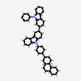 c1ccc(-n2c3ccccc3c3ccc(-c4ccc5c(c4)c4ccccc4n5-c4ccc(-c5ccc6c(ccc7ccccc76)c5)cc4)cc32)cc1